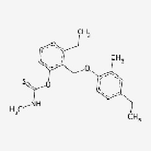 CCc1ccc(OCc2c(CC)cccc2OC(=S)NC)c(C)c1